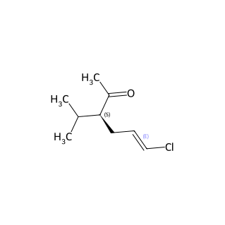 CC(=O)[C@@H](C/C=C/Cl)C(C)C